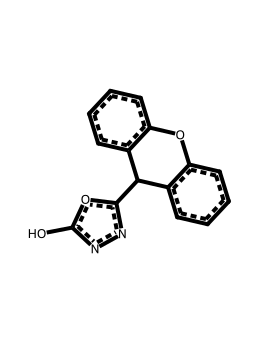 Oc1nnc(C2c3ccccc3Oc3ccccc32)o1